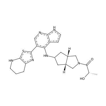 C[C@H](O)C(=O)N1C[C@H]2CC(Nc3c(-c4nc5c(s4)NCCC5)cnc4[nH]ccc34)C[C@H]2C1